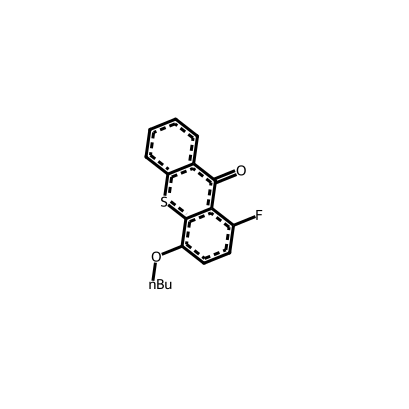 CCCCOc1ccc(F)c2c(=O)c3ccccc3sc12